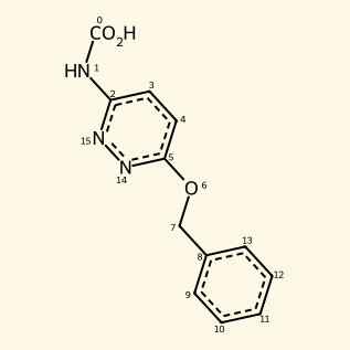 O=C(O)Nc1ccc(OCc2ccccc2)nn1